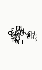 CN(C)CCc1nc(C(F)(F)F)c(C(=O)N2CCc3[nH]cnc3[C@H]2c2nc3c(F)cccc3s2)o1